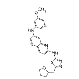 COc1cncc(Nc2cnc3ccc(Nc4nnc(CC5CCCO5)s4)nc3c2)c1